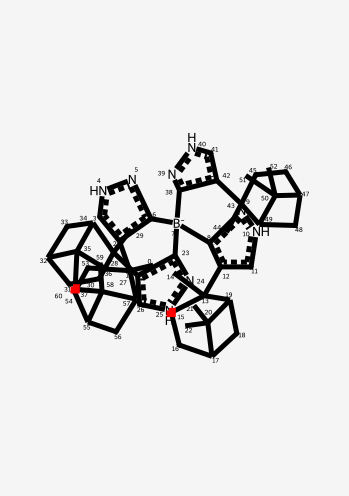 CC1(c2c[nH]nc2[B-](c2n[nH]cc2C2(C)CCC3CC2C3(C)C)(c2n[nH]cc2C2(C)CCC3CC2C3(C)C)c2n[nH]cc2C2(C)CCC3CC2C3(C)C)CCC2CC1C2(C)C